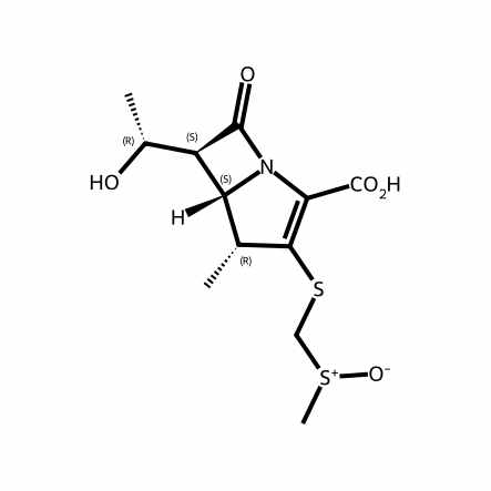 C[C@@H](O)[C@H]1C(=O)N2C(C(=O)O)=C(SC[S+](C)[O-])[C@H](C)[C@H]12